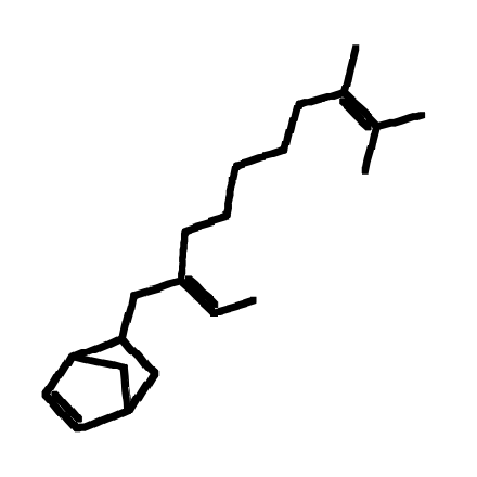 CC=C(CCCCCC(C)=C(C)C)CC1CC2C=CC1C2